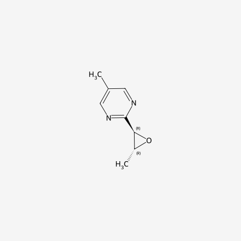 Cc1cnc([C@H]2O[C@@H]2C)nc1